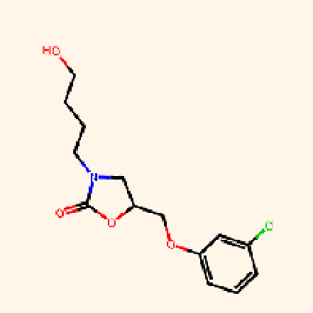 O=C1OC(COc2cccc(Cl)c2)CN1CCCCO